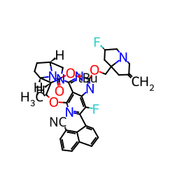 C=C1CN2C[C@H](F)CC2(COc2nc3c4c(nc(-c5cccc6cccc(C#N)c56)c(F)c4n2)O[C@@H](C)[C@@H]2[C@@H]4CC[C@H](CN32)N4C(=O)OC(C)(C)C)C1